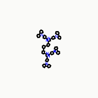 c1cc(-c2cccc(-c3cc(-c4ccc(-n5c6ccccc6c6ccccc65)cc4)nc(-c4ccc(-n5c6ccccc6c6ccccc65)cc4)n3)c2)cc(-c2cccc(-c3cc(-c4ccc(-n5c6ccccc6c6ccccc65)cc4)nc(-c4ccc(-n5c6ccccc6c6ccccc65)cc4)n3)c2)c1